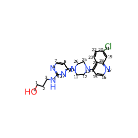 OCCCNc1nccc(N2CCN(c3ccnc4cc(Cl)ccc34)CC2)n1